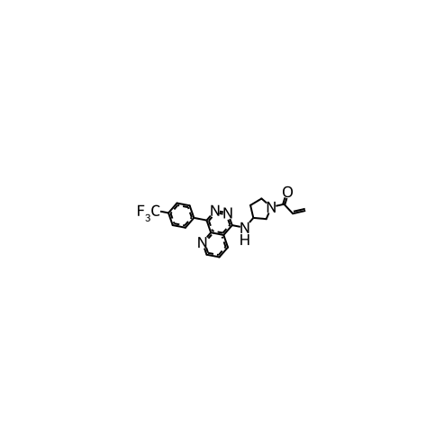 C=CC(=O)N1CCC(Nc2nnc(-c3ccc(C(F)(F)F)cc3)c3ncccc23)C1